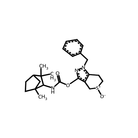 CC12CCC(C1)C(C)(C)C2NC(=O)Oc1nn(Cc2ccccc2)c2c1C[S+]([O-])CC2